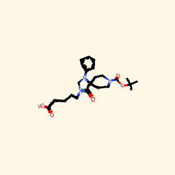 CC(C)(C)OC(=O)N1CCC2(CC1)C(=O)N(CCCCC(=O)O)CN2c1ccccc1